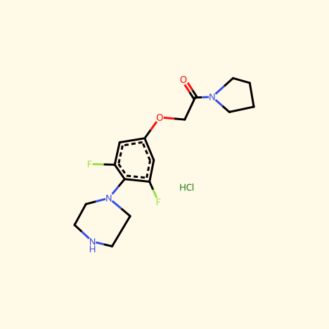 Cl.O=C(COc1cc(F)c(N2CCNCC2)c(F)c1)N1CCCC1